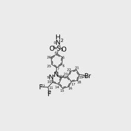 NS(=O)(=O)c1ccc(-n2nc(C(F)F)c3ccc4cc(Br)ccc4c32)cc1